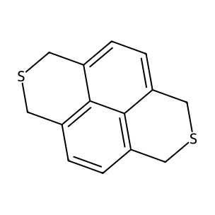 c1cc2c3c(ccc4c3c1CSC4)CSC2